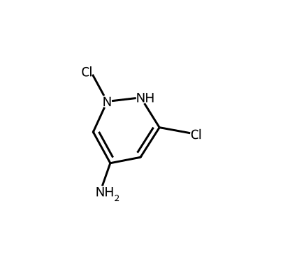 NC1=CN(Cl)NC(Cl)=C1